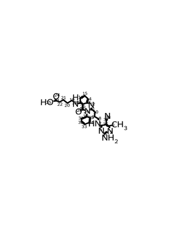 Cc1nc(N)nc(NCCCc2nc3cccc(NCCCCC(=O)O)c3c(=O)n2-c2ccccc2)c1C#N